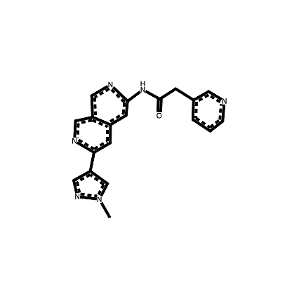 Cn1cc(-c2cc3cc(NC(=O)Cc4cccnc4)ncc3cn2)cn1